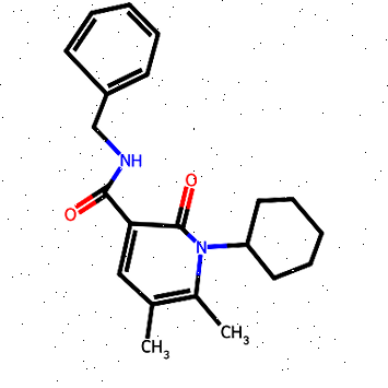 Cc1cc(C(=O)NCc2ccccc2)c(=O)n(C2CCCCC2)c1C